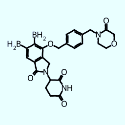 Bc1cc2c(c(OCc3ccc(CN4CCOCC4=O)cc3)c1B)CN(C1CCC(=O)NC1=O)C2=O